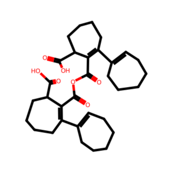 O=C(OC(=O)C1=C(C2=CCCCCC2)CCCCC1C(=O)O)C1=C(C2=CCCCCC2)CCCCC1C(=O)O